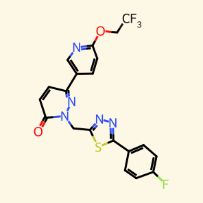 O=c1ccc(-c2ccc(OCC(F)(F)F)nc2)nn1Cc1nnc(-c2ccc(F)cc2)s1